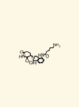 NCCCCC(=O)Nc1cccc2c1CN(C1CCC(=O)NC1=O)C2O